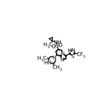 C[C@@H]1CN(c2cc(S(=O)(=O)NC3(C)CC3)cn3c(-c4nnc(C(F)(F)F)s4)cnc23)C[C@@H](C)N1